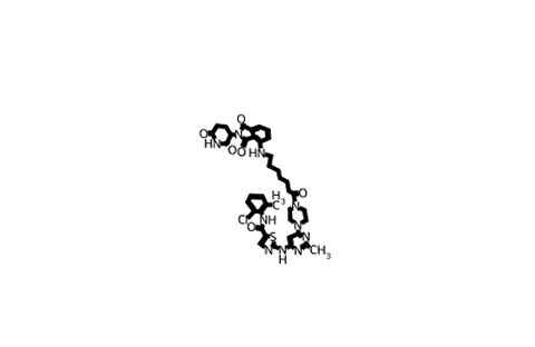 Cc1nc(Nc2ncc(C(=O)Nc3c(C)cccc3Cl)s2)cc(N2CCN(C(=O)CCCCCCNc3cccc4c3C(=O)N(C3CCC(=O)NC3=O)C4=O)CC2)n1